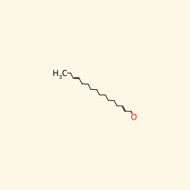 CCC=CCCCCCCCCCC=CC=O